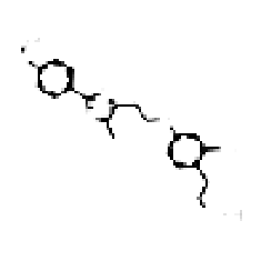 CCCCOc1ccc(-c2nc(CCOc3ccc(CCC(=O)O)c(C#N)c3)c(C)o2)cc1